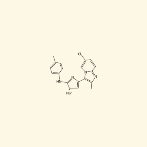 Br.Cc1ccc(Nc2nc(-c3c(C)nc4ccc(Cl)cn34)cs2)cc1